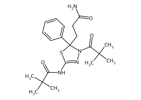 CC(C)(C)C(=O)NC1=NN(C(=O)C(C)(C)C)C(CCC(N)=O)(c2ccccc2)S1